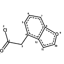 O=C(Cl)Cc1cccc2occc12